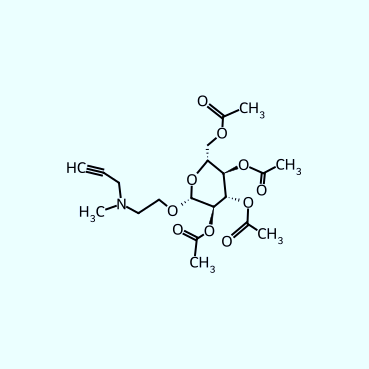 C#CCN(C)CCO[C@@H]1O[C@H](COC(C)=O)[C@@H](OC(C)=O)[C@H](OC(C)=O)[C@H]1OC(C)=O